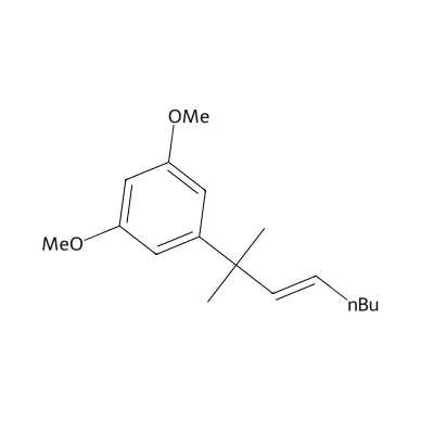 CCCCC=CC(C)(C)c1cc(OC)cc(OC)c1